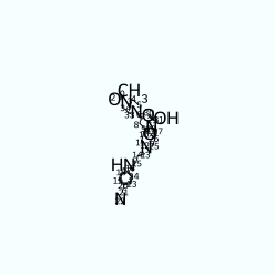 CC(=O)N1CCN(CCC2C3CN(CCCNc4ccc(C#N)cc4)CC(CN2C(=O)O)O3)CC1